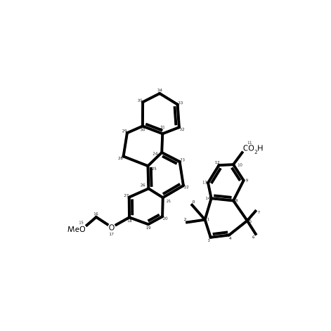 CC1(C)C=CC(C)(C)c2cc(C(=O)O)ccc21.COCOc1ccc2ccc3c(c2c1)CCC1=C3C=CCC1